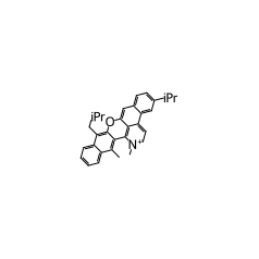 Cc1c2c(c(CC(C)C)c3ccccc13)Oc1cc3ccc(C(C)C)cc3c3cc[n+](C)c-2c13